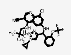 CC(C)(C)CNc1c(C#N)cnc2c(Cl)cc(NC(c3cn(C4CC4)nn3)c3ccccc3OC(F)(F)F)cc12